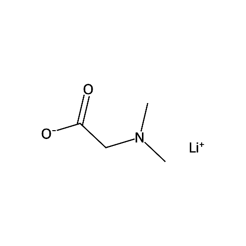 CN(C)CC(=O)[O-].[Li+]